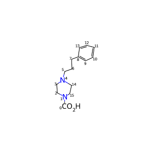 O=C(O)N1CCN(CCCc2ccccc2)CC1